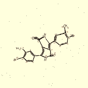 Cc1cc(C2=C3C(=O)NC(c4ccc(Br)c(C)c4)=C3C(=O)N2)ccc1Br